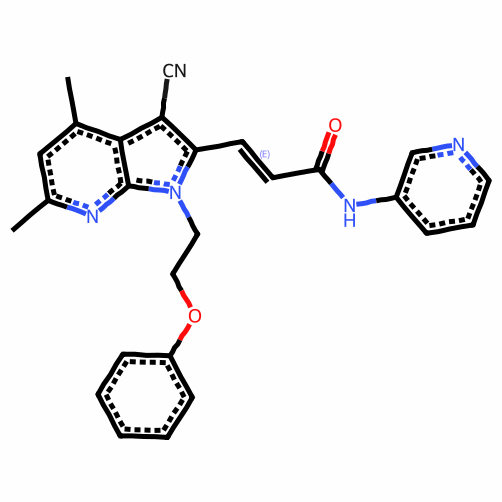 Cc1cc(C)c2c(C#N)c(/C=C/C(=O)Nc3cccnc3)n(CCOc3ccccc3)c2n1